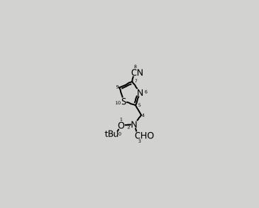 CC(C)(C)ON(C=O)Cc1nc(C#N)cs1